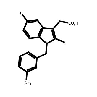 CC1=C(CC(=O)O)c2cc(F)ccc2C1Cc1cccc(C(F)(F)F)c1